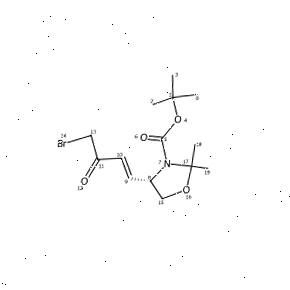 CC(C)(C)OC(=O)N1[C@@H](/C=C/C(=O)CBr)COC1(C)C